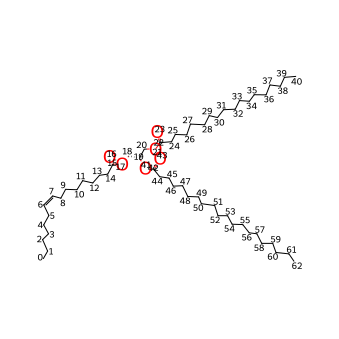 CCCCCC/C=C\CCCCCCCC(=O)OC[C@H](COC(=O)CCCCCCCCCCCCCCCCC)OC(=O)CCCCCCCCCCCCCCCCCCC